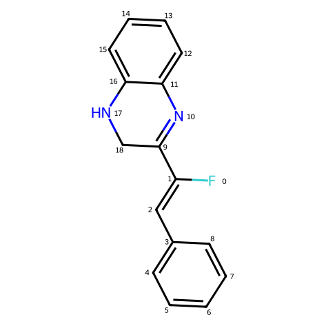 FC(=Cc1ccccc1)C1=Nc2ccccc2NC1